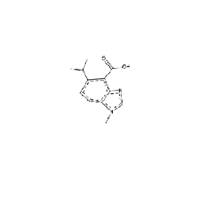 CC(C)c1ccc2c(ncn2C)c1C(=O)O